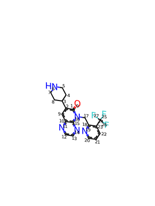 O=c1c(C2CCNCC2)cc2nccnc2n1Cc1ncccc1C(F)(F)F